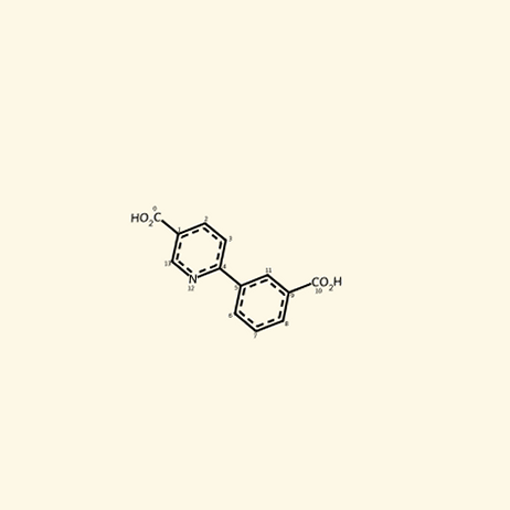 O=C(O)c1ccc(-c2cccc(C(=O)O)c2)nc1